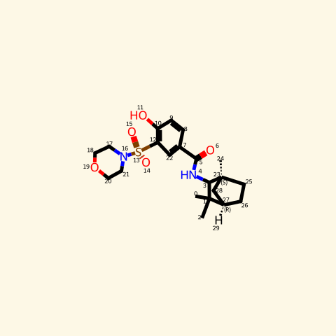 CC1(C)C(NC(=O)c2ccc(O)c(S(=O)(=O)N3CCOCC3)c2)[C@@]2(C)CC[C@@H]1C2